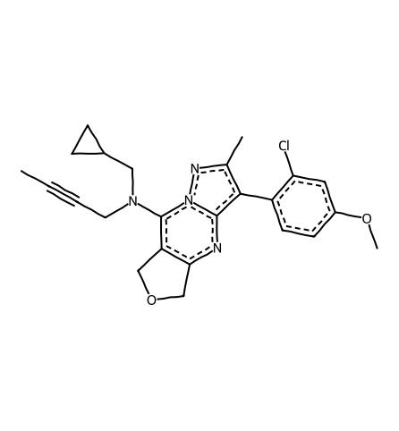 CC#CCN(CC1CC1)c1c2c(nc3c(-c4ccc(OC)cc4Cl)c(C)nn13)COC2